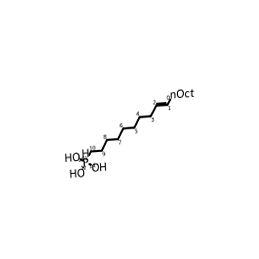 CCCCCCCCC=CCCCCCCCC[PH](O)(O)O